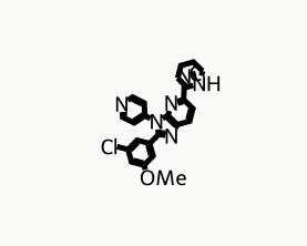 COc1cc(Cl)cc(-c2nc3ccc(N4CC5CCC4CN5)nc3n2-c2ccncc2)c1